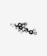 Cl.Cl.N=C(N)c1cccc2c1CC/C2=N\n1cc(-c2ccc(Cl)c(Cl)c2)nc1N